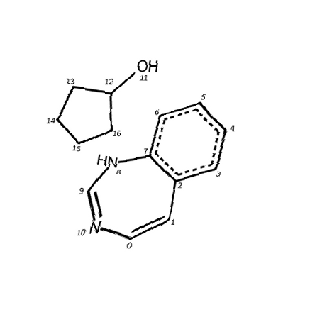 C1=Cc2ccccc2NC=N1.OC1CCCC1